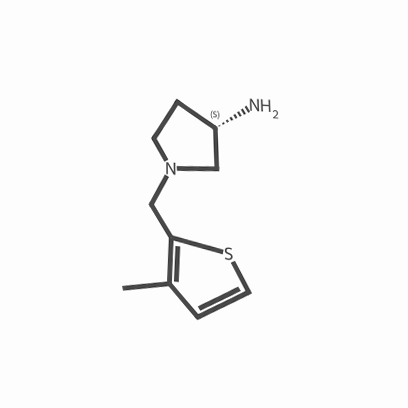 Cc1ccsc1CN1CC[C@H](N)C1